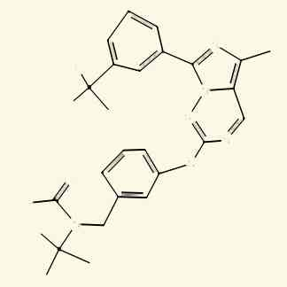 Cc1nc(-c2cccc(C(F)(F)F)c2)n2nc(Nc3cccc(CN(C(=O)O)C(C)(C)C)c3)ncc12